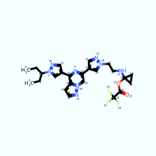 CCC(CC)n1cc(-c2nc(-c3cnn(CCNC4(OC(=O)C(F)(F)F)CC4)c3)cn3nccc23)cn1